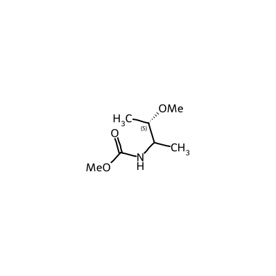 COC(=O)NC(C)[C@H](C)OC